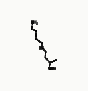 CNC(C)CCNCCCCN